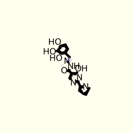 O=C(N/N=C/c1ccc(O)c(O)c1O)c1cnc(-c2ccccn2)nc1O